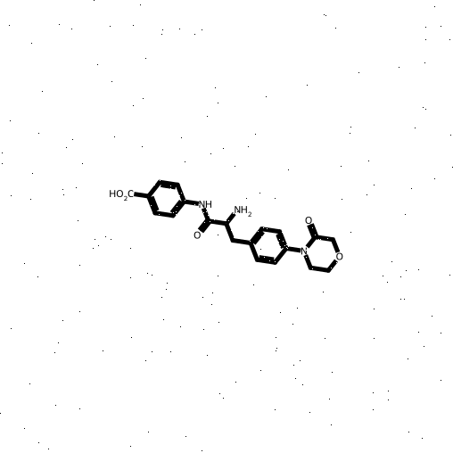 NC(Cc1ccc(N2CCOCC2=O)cc1)C(=O)Nc1ccc(C(=O)O)cc1